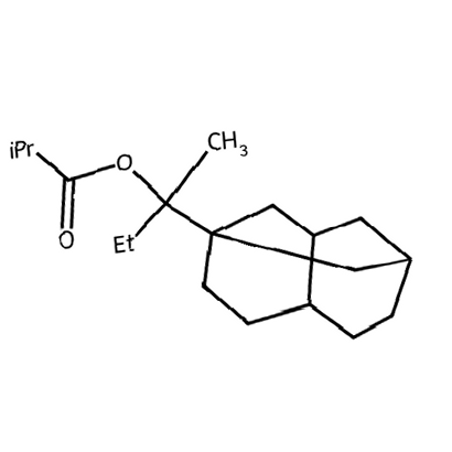 CCC(C)(OC(=O)C(C)C)C12CCC3CCC(CC3C1)C2